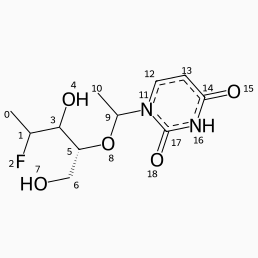 CC(F)C(O)[C@@H](CO)OC(C)n1ccc(=O)[nH]c1=O